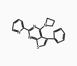 c1ccc(-c2csc3nc(-c4ccccn4)nc(N4CCC4)c23)cc1